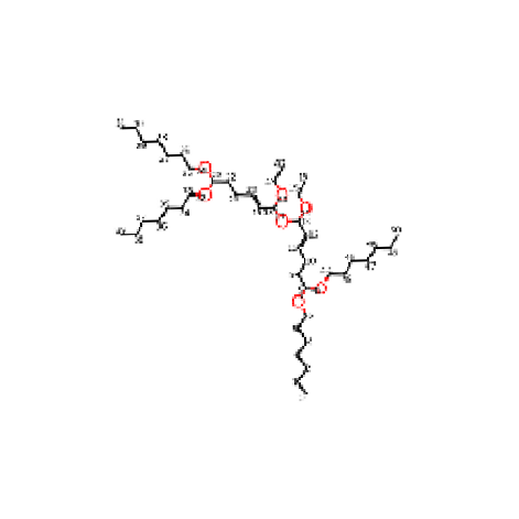 CCCCCCCOC(CCC=CC(OCC)OC(C=CCCC(OCCCCCCC)OCCCCCCC)OCC)OCCCCCCC